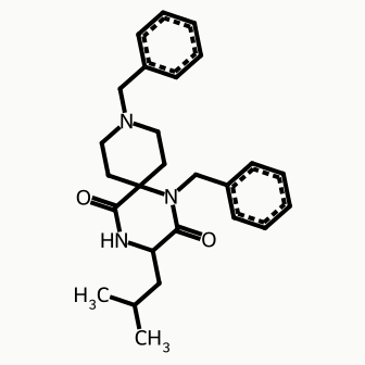 CC(C)CC1NC(=O)C2(CCN(Cc3ccccc3)CC2)N(Cc2ccccc2)C1=O